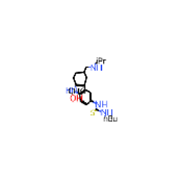 CCCCNC(=S)Nc1ccc2[nH]c3c(c2c1)CC(CNC(C)C)CC3.O=CO